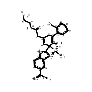 N=C(N)c1ccc2[nH]c(C3(S(N)(=O)=O)C=C(CC(=O)NCCS(=O)(=O)O)CC(c4ccccc4O)=C3O)nc2c1